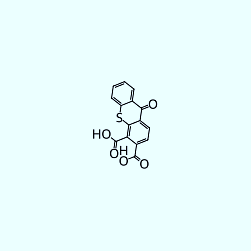 O=C(O)c1ccc2c(=O)c3ccccc3sc2c1C(=O)O